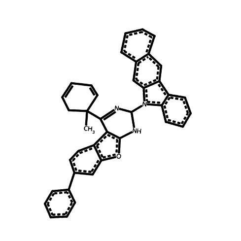 CC1(C2=NC(n3c4ccccc4c4cc5ccccc5cc43)Nc3oc4cc(-c5ccccc5)ccc4c32)C=CC=CC1